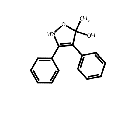 CC1(O)ONC(c2ccccc2)=C1c1ccccc1